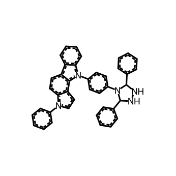 c1ccc(C2NNC(c3ccccc3)N2c2ccc(-n3c4ccccc4c4ccc5c(ccn5-c5ccccc5)c43)cc2)cc1